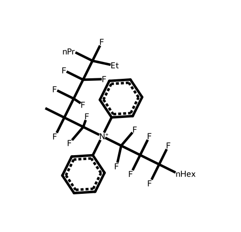 CCCCCCC(F)(F)C(F)(F)C(F)(F)[N+](c1ccccc1)(c1ccccc1)C(F)(F)C(C)(F)C(F)(F)C(F)(F)C(F)(CC)CCC